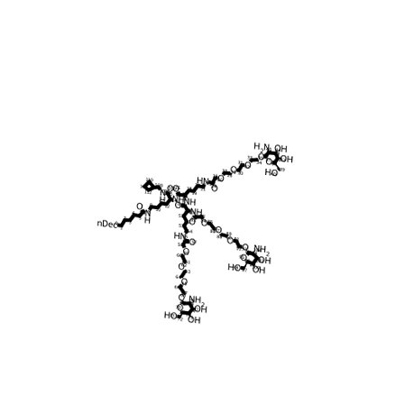 CCCCCCCCCCCCCCCC(=O)NCCCCC(NC(=O)C(CCCCNC(=O)COCCOCCOCCO[C@@H]1O[C@H](CO)[C@H](O)[C@H](O)[C@H]1N)NC(=O)C(CCCCNC(=O)COCCOCCOCCO[C@@H]1O[C@H](CO)[C@H](O)[C@H](O)[C@H]1N)NC(=O)COCCOCCOCCO[C@@H]1O[C@H](CO)[C@H](O)[C@H](O)[C@H]1N)C(=O)NCC1CCC1